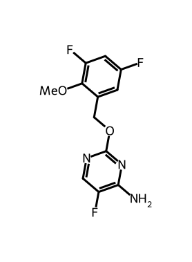 COc1c(F)cc(F)cc1COc1ncc(F)c(N)n1